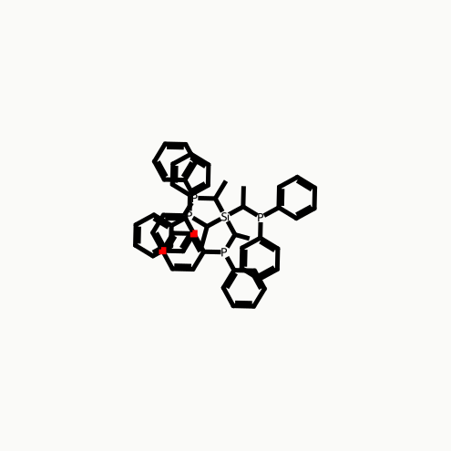 CC(P(c1ccccc1)c1ccccc1)[Si](C(C)P(c1ccccc1)c1ccccc1)(C(C)P(c1ccccc1)c1ccccc1)C(C)P(c1ccccc1)c1ccccc1